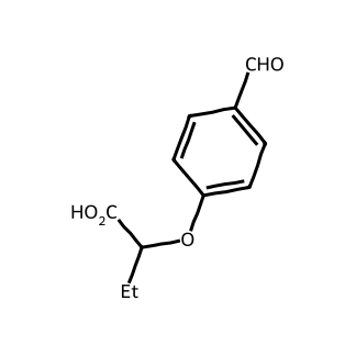 CCC(Oc1ccc(C=O)cc1)C(=O)O